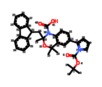 CC(C)(C)OC(=O)n1cccc1-c1ccc2c(c1)C(C)(C)OC(C)(CC1c3ccccc3-c3ccccc31)N2C(=O)O